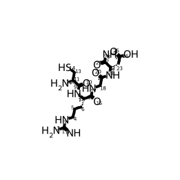 N=C(N)NCCC[C@H](NC(=O)[C@@H](N)CS)C(=O)NCC(=O)N[C@@H](CC(=O)O)C(N)=O